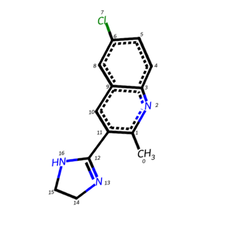 Cc1nc2ccc(Cl)cc2cc1C1=NCCN1